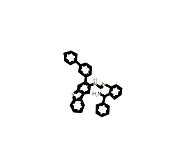 NC(c1ccccc1)c1ccccc1/N=C/Nc1cc2c(cc1-c1cccc(-c3ccccc3)c1)sc1ccccc12